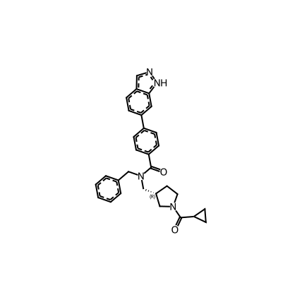 O=C(c1ccc(-c2ccc3cn[nH]c3c2)cc1)N(Cc1ccccc1)C[C@@H]1CCN(C(=O)C2CC2)C1